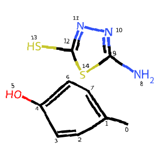 Cc1ccc(O)cc1.Nc1nnc(S)s1